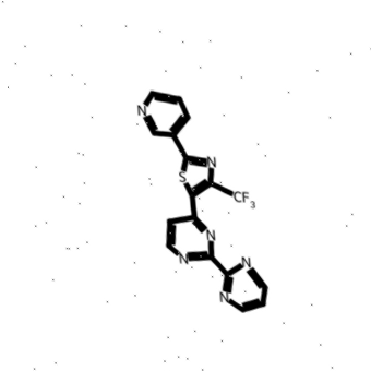 FC(F)(F)c1nc(-c2cccnc2)sc1-c1ccnc(-c2ncccn2)n1